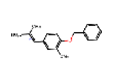 CO/C(=C\c1ccc(OCc2ccccc2)c(OC)c1)C(=O)O